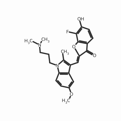 COc1ccc2c(c1)c(/C=C1\Oc3c(ccc(O)c3F)C1=O)c(C)n2CCCN(C)C